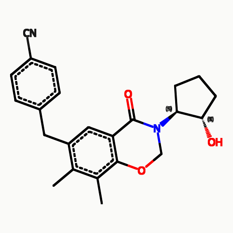 Cc1c(Cc2ccc(C#N)cc2)cc2c(c1C)OCN([C@H]1CCC[C@@H]1O)C2=O